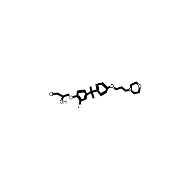 CC(C)(c1ccc(OCCCN2CCOCC2)cc1)c1ccc(OCC(O)CCl)c(Cl)c1